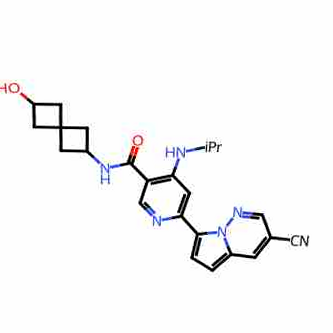 CC(C)Nc1cc(-c2ccc3cc(C#N)cnn23)ncc1C(=O)NC1CC2(CC(O)C2)C1